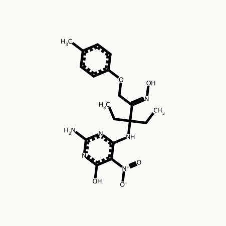 CCC(CC)(Nc1nc(N)nc(O)c1[N+](=O)[O-])C(COc1ccc(C)cc1)=NO